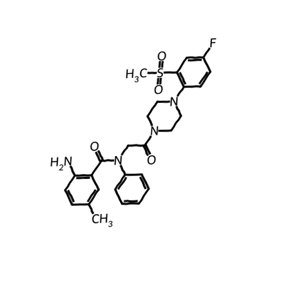 Cc1ccc(N)c(C(=O)N(CC(=O)N2CCN(c3ccc(F)cc3S(C)(=O)=O)CC2)c2ccccc2)c1